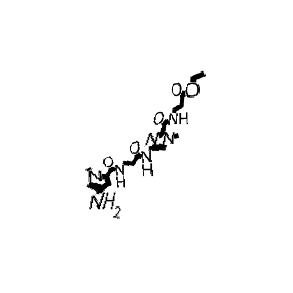 CCOC(=O)CCNC(=O)c1nc(NC(=O)CCNC(=O)c2cc(N)cn2C)cn1C